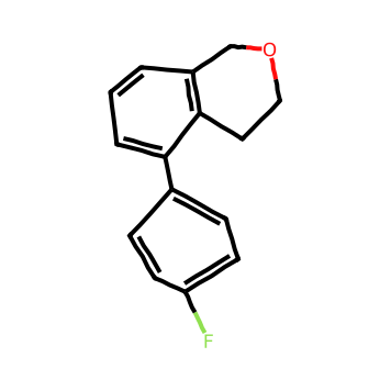 Fc1ccc(-c2cccc3c2CCOC3)cc1